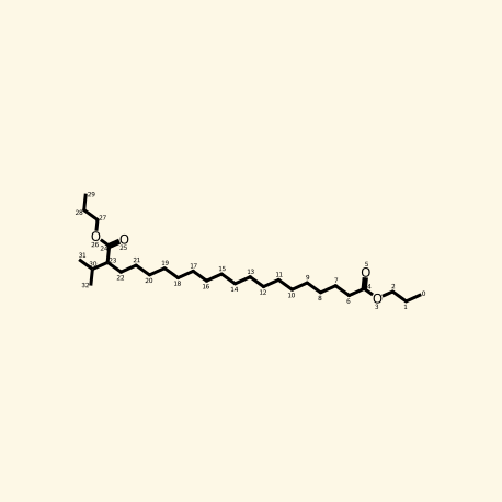 CCCOC(=O)CCCCCCCCCCCCCCCCCC(C(=O)OCCC)C(C)C